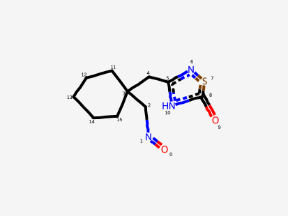 O=NCC1(Cc2nsc(=O)[nH]2)CCCCC1